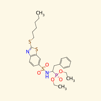 CCCCCCSc1nc2ccc(S(=O)(=O)NC(Cc3ccccc3)P(=O)(OCC)OCC)cc2s1